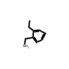 CCc1cc[c]cc1CN